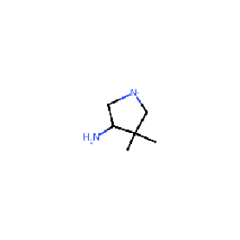 CC1(C)C[N]CC1N